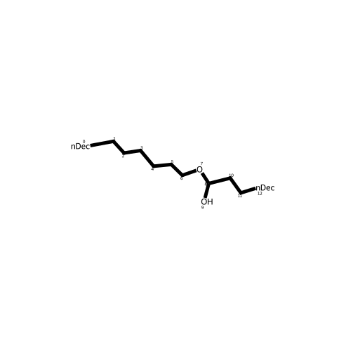 CCCCCCCCCCCCCCCCOC(O)CCCCCCCCCCCC